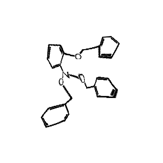 c1ccc(COc2ccccc2N(OCc2ccccc2)OCc2ccccc2)cc1